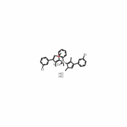 CCc1cccc(C2=CC(C)[C]([Zr]([CH3])(=[GeH2])([C]3=C(C)C(c4cccc(CC)c4)=CC3C)[c]3ccccc3)=C2C)c1.Cl.Cl